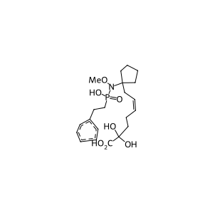 CON(C1(C/C=C\CCC(O)(O)C(=O)O)CCCC1)P(=O)(O)CCc1ccccc1